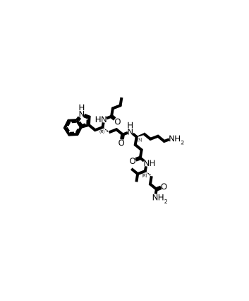 CCCC(=O)N[C@H](CCC(=O)N[C@@H](CCCCN)CCC(=O)N[C@H](CCC(N)=O)C(C)C)Cc1c[nH]c2ccccc12